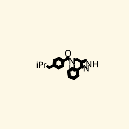 CC(C)Cc1ccc(C(=O)NCc2c[nH]nc2-c2ccccc2)cc1